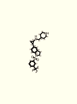 O=S(=O)(c1cccc(C(F)(F)F)c1)N1CCc2cc(C3CC3NCC3CCNCC3)ccc21